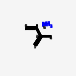 C=CC(=C)C.N